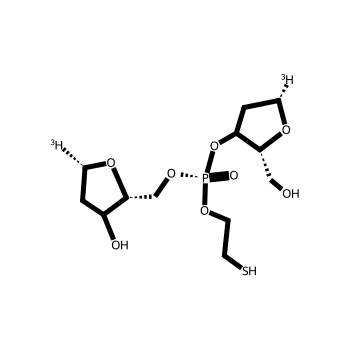 [3H][C@H]1CC(O)[C@@H](CO[P@](=O)(OCCS)OC2C[C@H]([3H])O[C@@H]2CO)O1